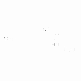 COc1ccc(-c2ccc(C(=O)N[C@H](C(=O)O)C3CCCC3)c([N+](=O)[O-])c2)cc1